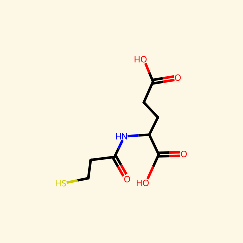 O=C(O)CCC(NC(=O)CCS)C(=O)O